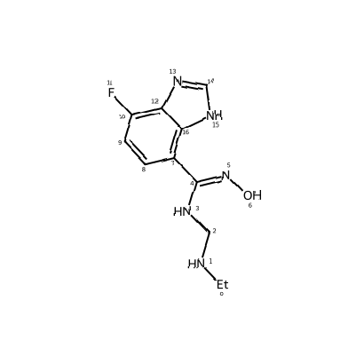 CCNCNC(=NO)c1ccc(F)c2nc[nH]c12